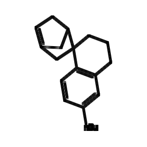 CCCCc1ccc2c(c1)CCCC21CC2=CCC1C2